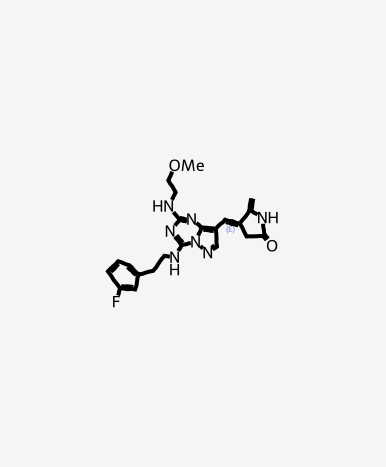 C=C1NC(=O)C/C1=C\c1cnn2c(NCCc3cccc(F)c3)nc(NCCOC)nc12